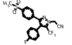 CS(=O)(=O)c1ccc(-c2nn(CC#N)c(C(F)(F)F)c2-c2ccc(F)cc2)cc1